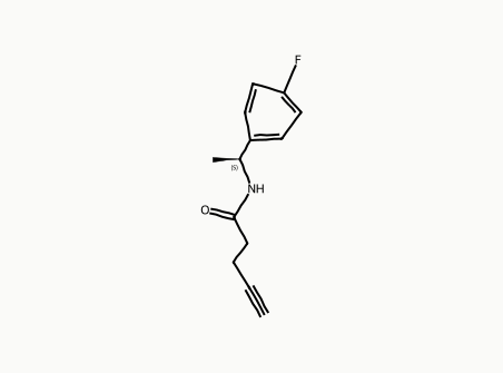 C#CCCC(=O)N[C@@H](C)c1ccc(F)cc1